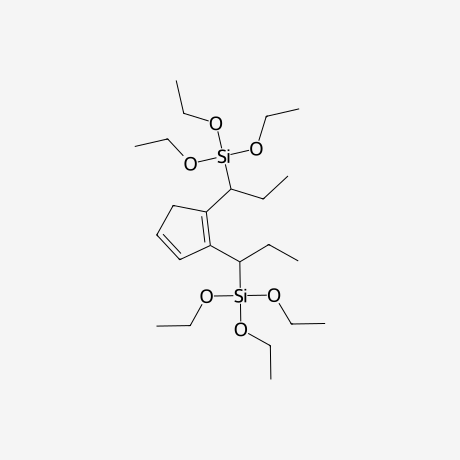 CCO[Si](OCC)(OCC)C(CC)C1=C(C(CC)[Si](OCC)(OCC)OCC)CC=C1